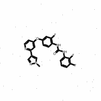 Cn1cc(-c2cc(Oc3ccc(NC(=O)Nc4cccc(F)c4F)c(F)c3)ccn2)cn1